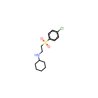 O=S(=O)(CCNC1CCCCC1)c1ccc(Cl)cc1